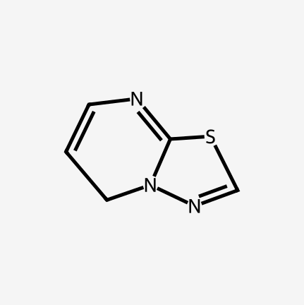 C1=CN=C2SC=NN2C1